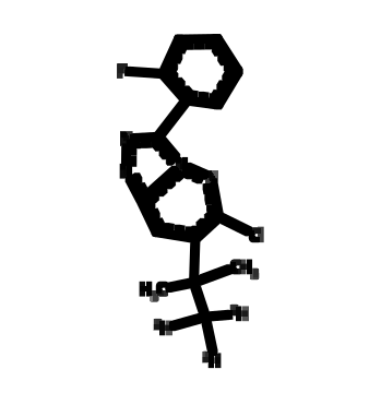 [2H]C([2H])([2H])C(C)(C)c1cc2nnc(-c3ccccc3F)n2nc1Cl